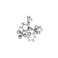 C=[S+](CC)(CC)C1CCCCO1.Cc1ccc(S(=O)(=O)[O-])cc1